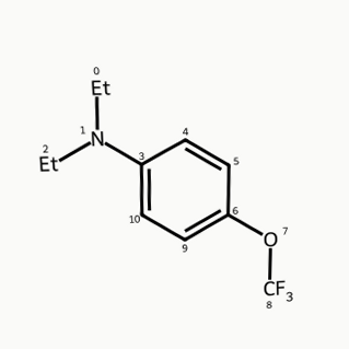 CCN(CC)c1ccc(OC(F)(F)F)cc1